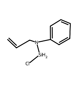 C=CCN([SiH2]Cl)c1ccccc1